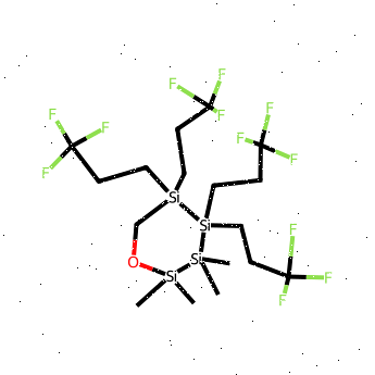 C[Si]1(C)OC[Si](CCC(F)(F)F)(CCC(F)(F)F)[Si](CCC(F)(F)F)(CCC(F)(F)F)[Si]1(C)C